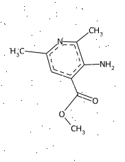 COC(=O)c1cc(C)nc(C)c1N